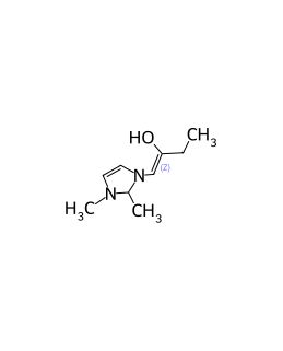 CC/C(O)=C/N1C=CN(C)C1C